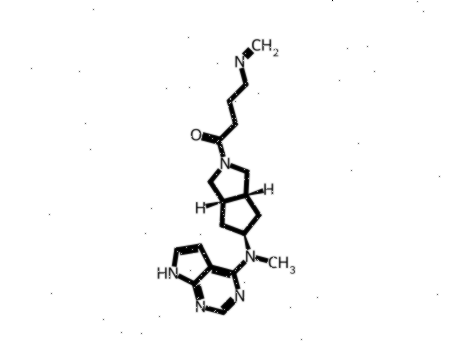 C=NCCCC(=O)N1C[C@H]2C[C@H](N(C)c3ncnc4[nH]ccc34)C[C@H]2C1